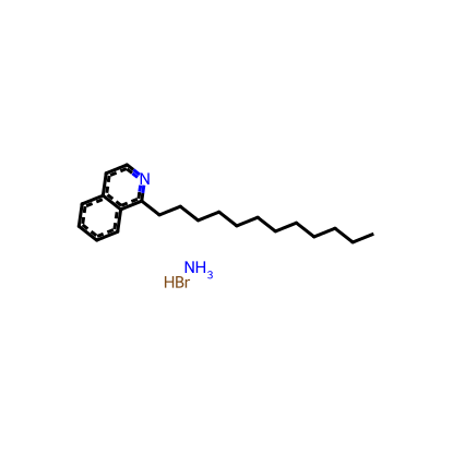 Br.CCCCCCCCCCCCc1nccc2ccccc12.N